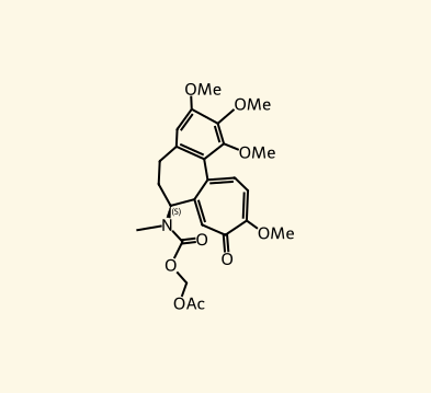 COc1cc2c(c(OC)c1OC)-c1ccc(OC)c(=O)cc1[C@@H](N(C)C(=O)OCOC(C)=O)CC2